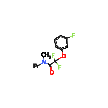 CC(C)N(C)C(=O)C(F)(F)Oc1cccc(F)c1